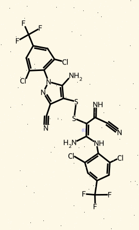 N#CC(=N)/C(SSc1c(C#N)nn(-c2c(Cl)cc(C(F)(F)F)cc2Cl)c1N)=C(/N)Nc1c(Cl)cc(C(F)(F)F)cc1Cl